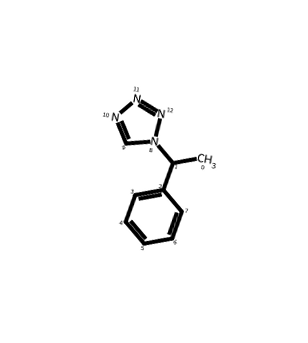 CC(c1ccccc1)n1cnnn1